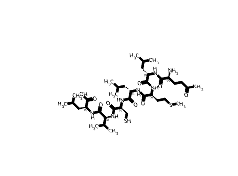 CSCC[C@H](NC(=O)[C@H](CC(C)C)NC(=O)[C@@H](N)CCC(N)=O)C(=O)N[C@@H](CC(C)C)C(=O)N[C@@H](CS)C(=O)N[C@H](C(=O)N[C@@H](CC(C)C)C(=O)O)C(C)C